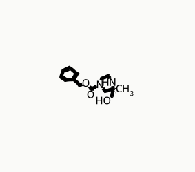 C[C@]1(CO)CN(C(=O)OCc2ccccc2)CCN1